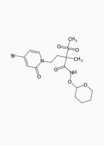 CC(CCn1ccc(Br)cc1=O)(C(=O)NOC1CCCCO1)S(C)(=O)=O